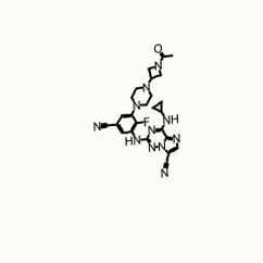 CC(=O)N1CC(N2CCN(c3cc(C#N)cc(Nc4nc(NC5CC5)c5ncc(C#N)n5n4)c3F)CC2)C1